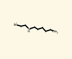 NCCCCCNCCBr